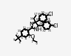 CCOc1cc(C(C)(C)C)ccc1C1=NC(CC)(c2ccc(Cl)cc2)C(c2ccc(Cl)cc2)N1